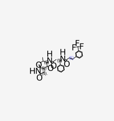 CC(C)[C@H](NC(=O)C[C@H](NC(=O)/C=C/c1cccc(C(F)(F)F)c1)c1ccccc1)C(=O)[C@@H]1C(=O)NC(=O)[C@H]1C